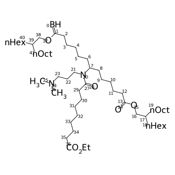 B=C(CCCCCC(CCCCCC(=O)OCC(CCCCCC)CCCCCCCC)N(CCCN(C)C)C(=O)CCCCCCCC(=O)OCC)OCC(CCCCCC)CCCCCCCC